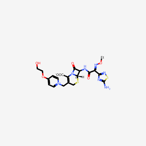 CCON=C(C(=O)NC1C(=O)N2C(C(=O)[O-])=C(C[n+]3ccc(OCCO)cc3)CS[C@@H]12)c1nsc(N)n1